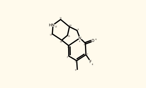 Cc1cc2n(c(=O)c1F)CC1CNCC2C1